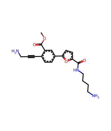 COC(=O)c1cc(-c2ccc(C(=O)NCCCCN)o2)ccc1C#CCN